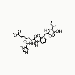 CC[C@@H](C)[C@H](NC(=O)Cn1cccc(NC(=O)[C@H](CC/C=C/C(=O)OC)NC(=O)c2cncn2C)c1=O)C(=O)O